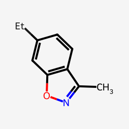 CCc1ccc2c(C)noc2c1